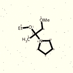 CCOC(C)(COC)N1CCCC1